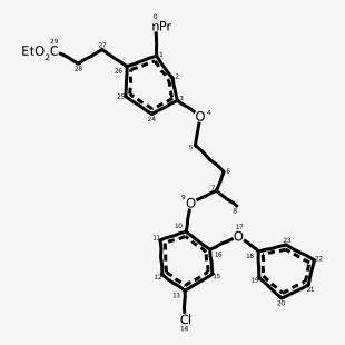 CCCc1cc(OCCC(C)Oc2ccc(Cl)cc2Oc2ccccc2)ccc1CCC(=O)OCC